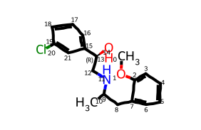 COc1ccccc1CC(C)NC[C@H](O)c1cccc(Cl)c1